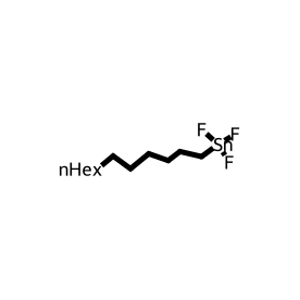 CCCCCCCCCCC[CH2][Sn]([F])([F])[F]